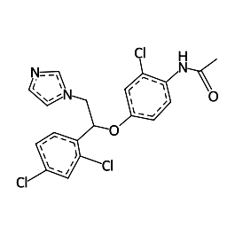 CC(=O)Nc1ccc(OC(Cn2ccnc2)c2ccc(Cl)cc2Cl)cc1Cl